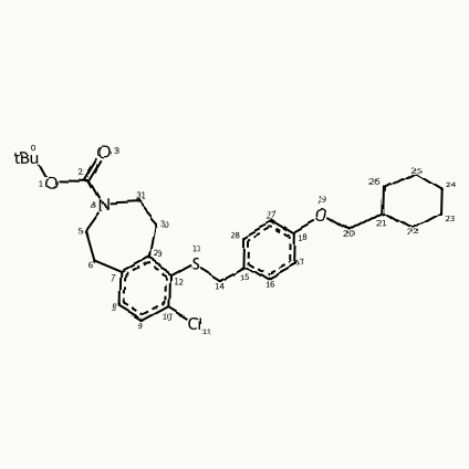 CC(C)(C)OC(=O)N1CCc2ccc(Cl)c(SCc3ccc(OCC4CCCCC4)cc3)c2CC1